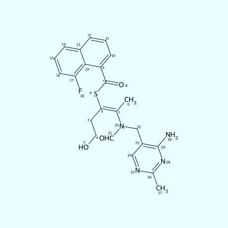 CC(=C(CCO)SC(=O)c1cccc2cccc(F)c12)N(C=O)Cc1cnc(C)nc1N